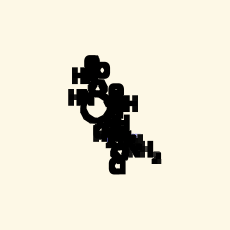 COC(=O)Nc1ccc2c(c1)NCCCCCC(NC(=O)/C=C/c1cc(Cl)ccc1N(N)/C=N\N)c1cc-2c(=O)[nH]n1